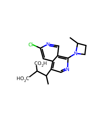 CC(c1cnc(N2CCC2C)c2cnc(Cl)cc12)C(C(=O)O)C(=O)O